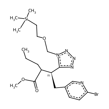 CCCC(C(=O)OC)[C@H](Cc1ccc(Br)nc1)c1nnnn1COCC[Si](C)(C)C